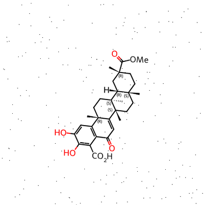 COC(=O)[C@]1(C)CC[C@]2(C)CC[C@]3(C)C4=CC(=O)c5c(cc(O)c(O)c5C(=O)O)[C@]4(C)CC[C@@]3(C)[C@@H]2C1